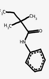 CC(C)(CC(F)(F)F)C(=O)Nc1ccccc1